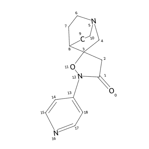 O=C1CC2(CN3CCC2CC3)ON1c1ccncc1